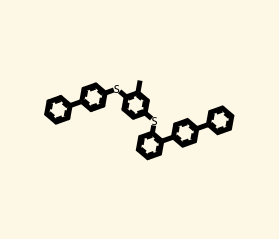 Cc1cc(Sc2ccccc2-c2ccc(-c3ccccc3)cc2)ccc1Sc1ccc(-c2ccccc2)cc1